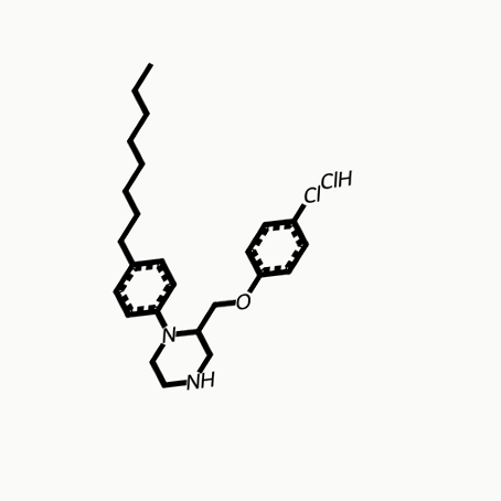 CCCCCCCCc1ccc(N2CCNCC2COc2ccc(Cl)cc2)cc1.Cl